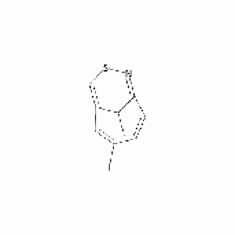 CC1C2=CSN=C1C=CC(I)=C2